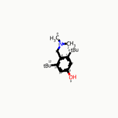 CN(C)Cc1c(C(C)(C)C)cc(O)cc1C(C)(C)C